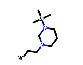 C[Si](C)(C)N1CCCN(CCC#N)C1